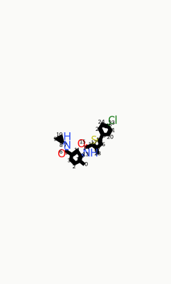 Cc1ccc(C(=O)NC2CC2)cc1NC(=O)c1sc(-c2ccc(Cl)cc2)cc1C